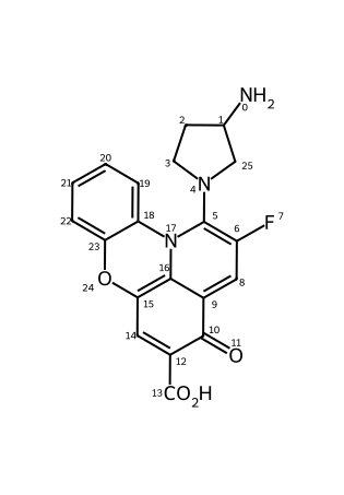 NC1CCN(c2c(F)cc3c(=O)c(C(=O)O)cc4c-3n2-c2ccccc2O4)C1